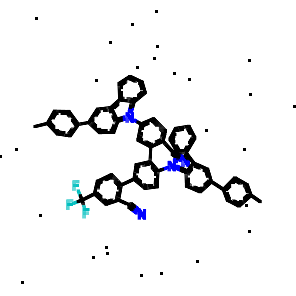 Cc1ccc(-c2ccc3c(c2)c2ccccc2n3-c2ccc(C#N)c(-c3cc(-c4ccc(C(F)(F)F)cc4C#N)ccc3-n3c4ccccc4c4cc(-c5ccc(C)cc5)ccc43)c2)cc1